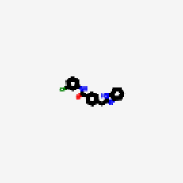 O=C(Nc1cccc(Cl)c1)c1ccc(Cc2nc3ccccc3[nH]2)cc1